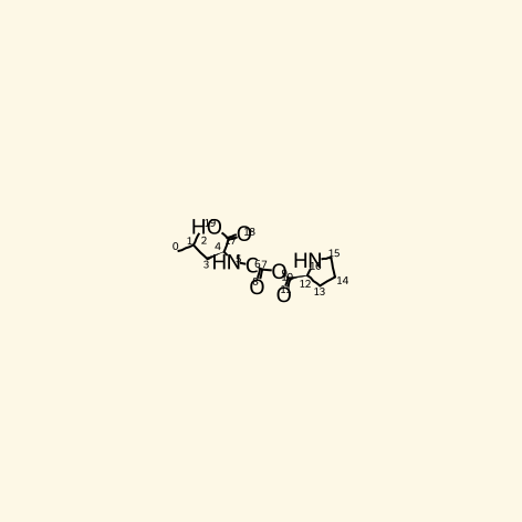 CC(C)C[C@H](NCC(=O)OC(=O)[C@@H]1CCCN1)C(=O)O